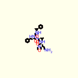 CC(C)C[C@@H](NC(=O)[C@@H](CCc1ccccc1)NC(=O)CNC1C[C@@H]1c1ccccc1)C(=O)N[C@H](CCCCN)C(=O)N1CCOCC1